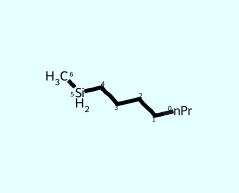 CCCCCC[CH][SiH2]C